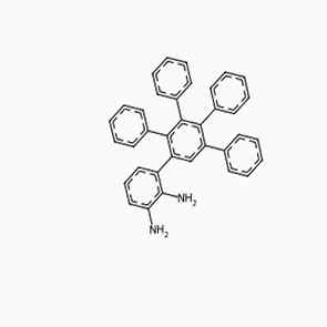 Nc1cccc(-c2cc(-c3ccccc3)c(-c3ccccc3)c(-c3ccccc3)c2-c2ccccc2)c1N